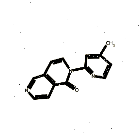 Cc1ccnc(-n2ccc3cnccc3c2=O)c1